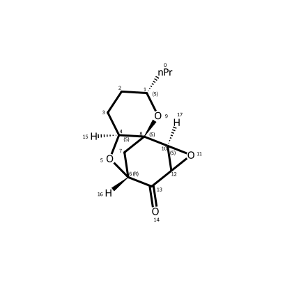 CCC[C@H]1CC[C@@H]2O[C@@H]3C[C@@]2(O1)[C@H]1OC1C3=O